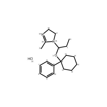 CCC(OC1(c2ccccc2)CCCCC1)N1CCN=C1C.Cl